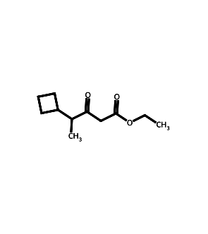 CCOC(=O)CC(=O)C(C)C1CCC1